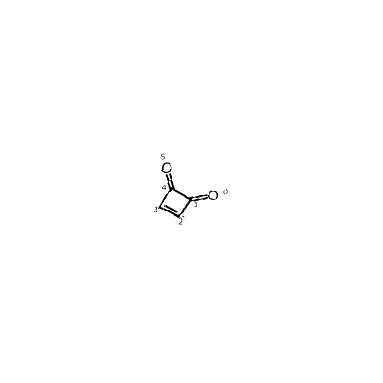 O=c1[c]cc1=O